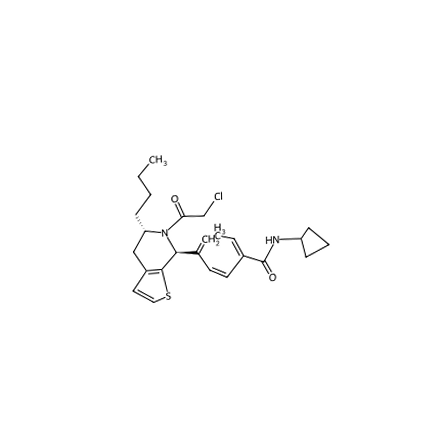 C=C(/C=C\C(=C/C)C(=O)NC1CCC1)[C@H]1c2sccc2C[C@H](CCCC)N1C(=O)CCl